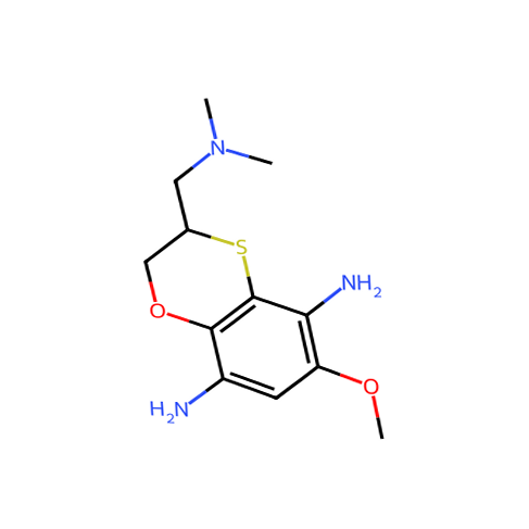 COc1cc(N)c2c(c1N)SC(CN(C)C)CO2